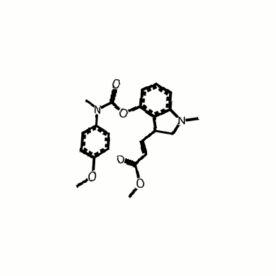 COC(=O)/C=C/C1CN(C)c2cccc(OC(=O)N(C)c3ccc(OC)cc3)c21